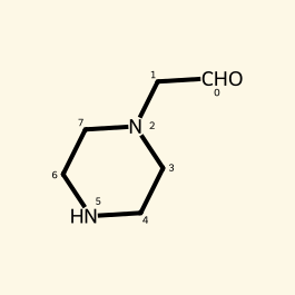 O=CCN1CCNCC1